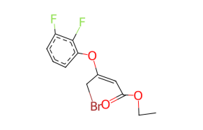 CCOC(=O)C=C(CBr)Oc1cccc(F)c1F